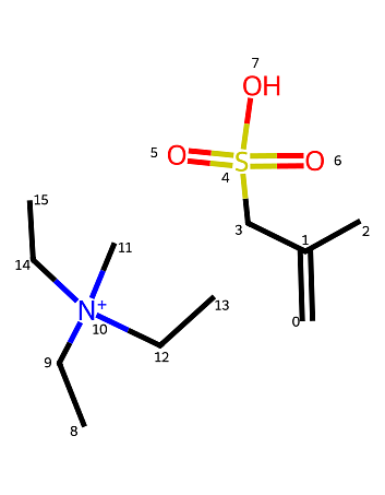 C=C(C)CS(=O)(=O)O.CC[N+](C)(CC)CC